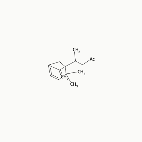 C=C1C2=C=CC(C)(C)C1(C(C)CC(C)=O)C2